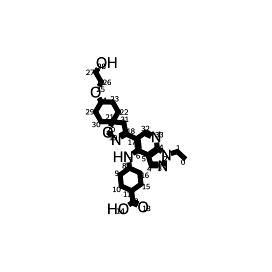 CCn1ncc2c(NC3CCC(C(=O)O)CC3)c(C3=NOC4(CCC(OCCO)CC4)C3)cnc21